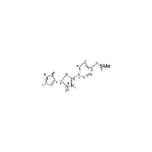 CSCc1ccc(C2=NNC(c3cccs3)C2)cc1